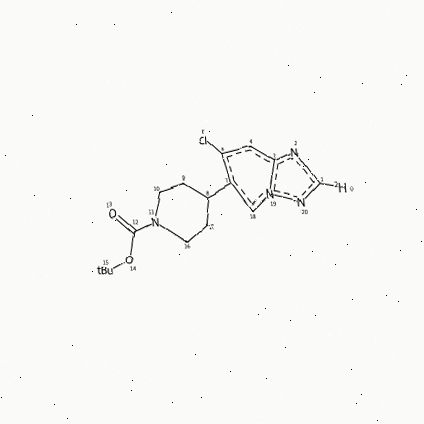 [2H]c1nc2cc(Cl)c(C3CCN(C(=O)OC(C)(C)C)CC3)cn2n1